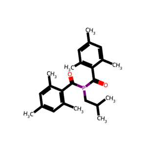 Cc1cc(C)c(C(=O)P(CC(C)C)C(=O)c2c(C)cc(C)cc2C)c(C)c1